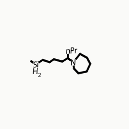 CCCC(CCCC[SiH2]C)N1CCCCCC1